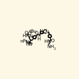 CCCN(CCC)C(=O)C1=Cc2ccc(C(=O)Nc3cnc4c(c3)CN(Cc3ccc(C(=O)NCCN)cc3)CC4)cc2N=C(NC(=O)OC(C)(C)C)C1